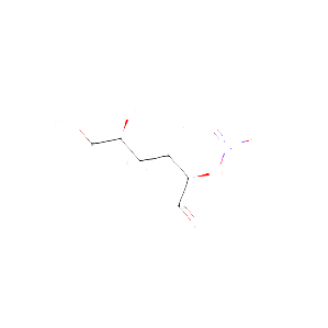 O=C[C@H](O[N+](=O)[O-])[C@@H](O)[C@H](O)[C@H](O)CO